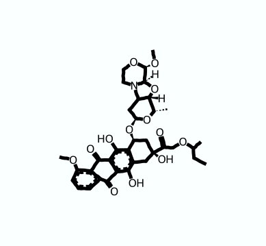 CCC(C)OCC(=O)[C@]1(O)Cc2c(O)c3c(c(O)c2[C@@H](O[C@H]2CC4[C@H](O[C@@H]5[C@@H](OC)OCCN45)[C@H](C)O2)C1)C(=O)c1c(OC)cccc1C3=O